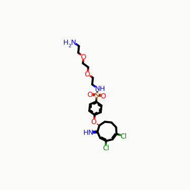 N=C1/C=C(Cl)\C=C(\Cl)CCC[C@H]1Oc1ccc(S(=O)(=O)NCCOCCOCCN)cc1